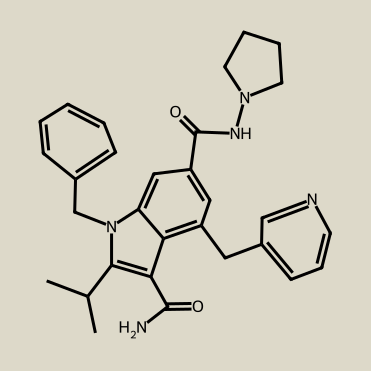 CC(C)c1c(C(N)=O)c2c(Cc3cccnc3)cc(C(=O)NN3CCCC3)cc2n1Cc1ccccc1